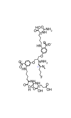 C=N/C(=C\N(N)C(COc1ccc([N+](=O)[O-])c(NCCCC[C@H](NC(N)=O)C(=O)O)c1)COc1ccc([N+](=O)[O-])c(NCCCC[C@@H](NC(=O)N[C@@H](CCC(=O)O)C(=O)O)C(=O)O)c1)CCCF